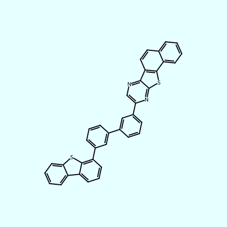 c1cc(-c2cccc(-c3cccc4c3sc3ccccc34)c2)cc(-c2cnc3c(n2)sc2c4ccccc4ccc32)c1